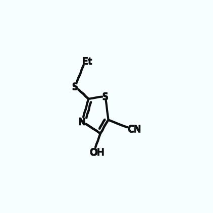 CCSc1nc(O)c(C#N)s1